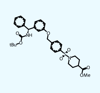 COC(=O)C1CCN(S(=O)(=O)c2ccc(COc3cccc([C@@H](NC(=O)OC(C)(C)C)c4ccccc4)c3)cc2)CC1